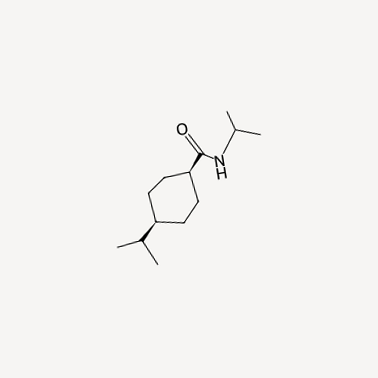 CC(C)NC(=O)[C@H]1CC[C@@H](C(C)C)CC1